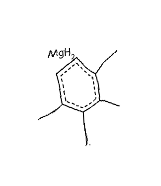 [CH2]c1c(C)ccc(C)c1C.[MgH2]